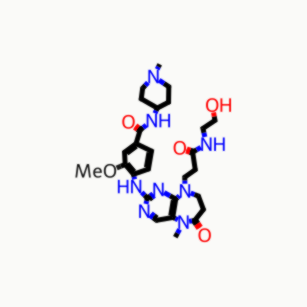 COc1cc(C(=O)NC2CCN(C)CC2)ccc1Nc1ncc2c(n1)N(CCC(=O)NCCO)CCC(=O)N2C